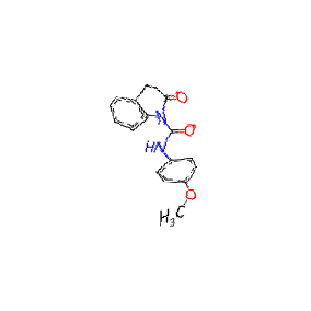 COc1ccc(NC(=O)N2C(=O)Cc3ccccc32)cc1